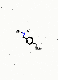 CCCN(CCC)Cc1ccc(CNC)cc1